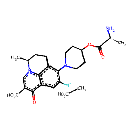 CC(=O)O.C[C@@H](N)C(=O)OC1CCN(c2c(F)cc3c(=O)c(C(=O)O)cn4c3c2CC[C@@H]4C)CC1